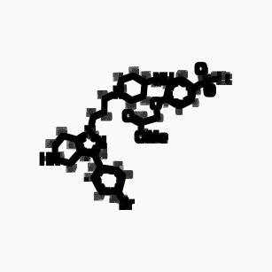 CCS(=O)(=O)c1ccc(OCC(=O)OC)c(NC2CCN(CCCn3nc(-c4ccc(Br)cc4)c4c3CCNC4)CC2)c1